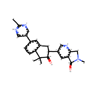 Cc1ncc(-c2ccc3c(c2)CC(c2cnc4c(c2)C(=O)N(C)C4)C(=O)C3(C)C)cn1